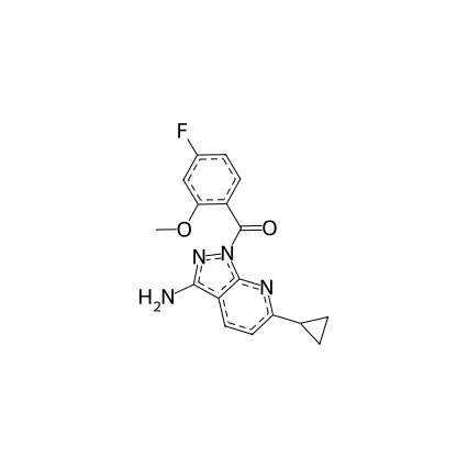 COc1cc(F)ccc1C(=O)n1nc(N)c2ccc(C3CC3)nc21